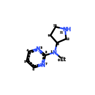 CCN(c1ncccn1)C1CCNC1